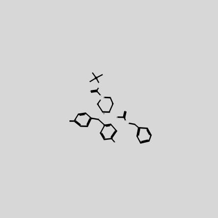 CC(C)(C)OC(=O)N1CC[C@H](NC(=O)OCc2ccccc2)[C@H](C(c2ccc(F)cc2)c2ccc(F)cc2)C1